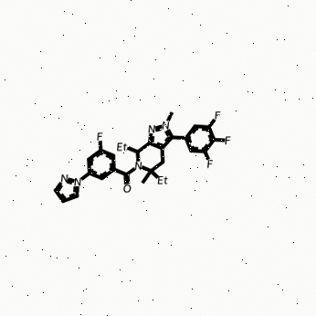 CCC1c2nn(C)c(-c3cc(F)c(F)c(F)c3)c2CC(C)(CC)N1C(=O)c1cc(F)cc(-n2cccn2)c1